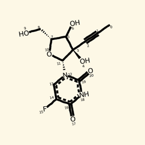 CC#C[C@@]1(O)C(O)[C@@H](CO)O[C@H]1n1cc(F)c(=O)[nH]c1=O